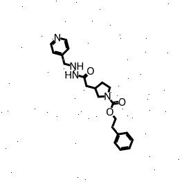 O=C(CC1CCN(C(=O)OCCc2ccccc2)C1)NNCc1ccncc1